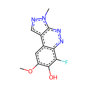 COc1cc2c(nnc3c2cnn3C)c(F)c1O